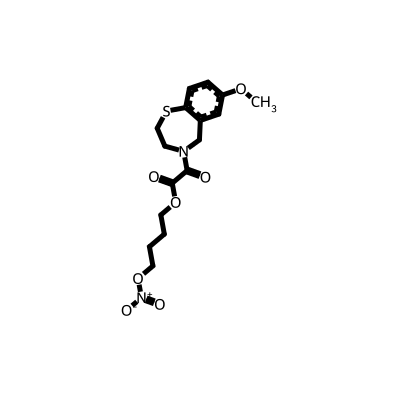 COc1ccc2c(c1)CN(C(=O)C(=O)OCCCCO[N+](=O)[O-])CCS2